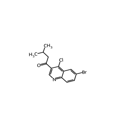 CC(C)CC(=O)c1cnc2ccc(Br)cc2c1Cl